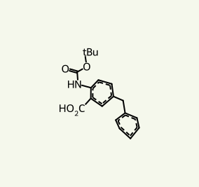 CC(C)(C)OC(=O)Nc1ccc(Cc2ccccc2)cc1C(=O)O